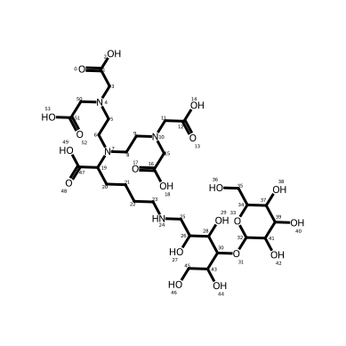 O=C(O)CN(CCN(CCN(CC(=O)O)CC(=O)O)C(CCCCNCC(O)C(O)C(OC1OC(CO)C(O)C(O)C1O)C(O)CO)C(=O)O)CC(=O)O